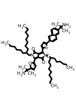 CCCCCCCCC(CCCCCC)CN1C(=O)C2=C(c3ccc(-c4ccc5cc(C(C)(C)N)ccc5c4)s3)N(CC(CCCCCC)CCCCCCCC)C(=O)C2=C1c1ccc(C(C)(C)N)o1